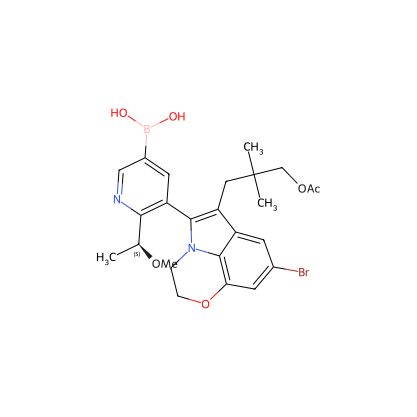 CO[C@@H](C)c1ncc(B(O)O)cc1-c1c(CC(C)(C)COC(C)=O)c2cc(Br)cc3c2n1CCO3